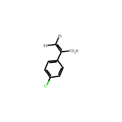 CCC(CC)=C(C(=O)O)c1ccc(Cl)cc1